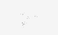 CC(C)(C)[Si](OCCCCNC(CCCCC(=O)OC1CCCCCCCCCCCCCC1)CCCCC(=O)OC1CCCCCCCCCCCCCC1)(c1ccccc1)c1ccccc1